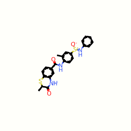 Cc1cc([S+]([O-])Nc2ccccc2)ccc1NC(=O)c1ccc2c(c1)NC(=O)C(C)S2